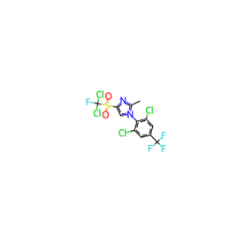 Cc1nc(S(=O)(=O)C(F)(Cl)Cl)cn1-c1c(Cl)cc(C(F)(F)F)cc1Cl